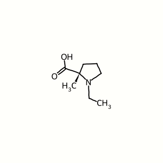 CCN1CCC[C@@]1(C)C(=O)O